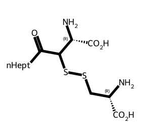 CCCCCCCC(=O)C(SSC[C@H](N)C(=O)O)[C@H](N)C(=O)O